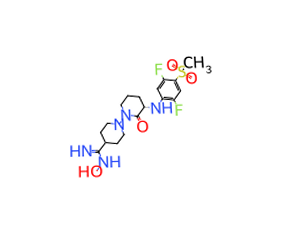 CS(=O)(=O)c1cc(F)c(N[C@H]2CCCN(N3CCC(C(=N)NO)CC3)C2=O)cc1F